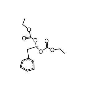 CCOC(=O)O[C](Cc1ccccc1)OC(=O)OCC